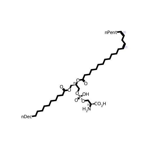 CCCCC/C=C\C/C=C\CCCCCCCCCCCC(=O)O[C@H](COC(=O)CCCCCCCCCCCCCCCCCCC)COP(=O)(O)OC[C@H](N)C(=O)O